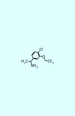 CC(N)c1ccc(Cl)c(OCC(F)(F)F)c1